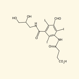 O=Cc1c(I)c(NC(=O)CCC(=O)O)c(I)c(C(=O)NCC(O)CO)c1I